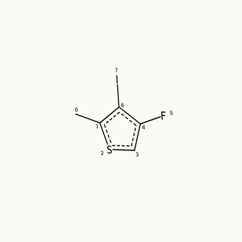 Cc1scc(F)c1I